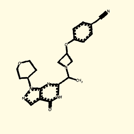 CC(c1nc2c(cnn2C2CCOCC2)c(=O)[nH]1)N1CC(Oc2ccc(C#N)cc2)C1